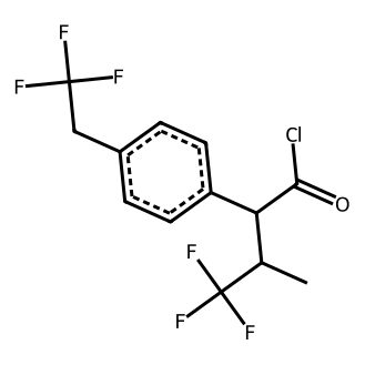 CC(C(C(=O)Cl)c1ccc(CC(F)(F)F)cc1)C(F)(F)F